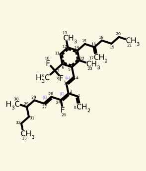 C=CC(/C=C/c1c(C(C)(F)F)cc(C)c(CC(=C)CCCC)c1C)=C(F)/C=C/CC(C)CCC